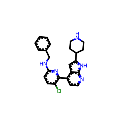 Clc1ccc(NCc2ccccc2)nc1-c1ccnc2[nH]c(C3CCNCC3)cc12